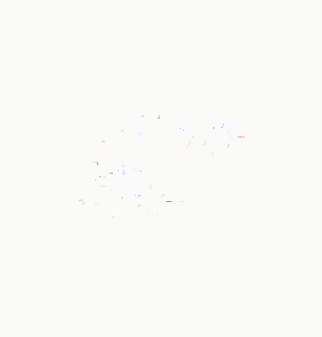 N#C[C@@H]1C[C@@H]2C[C@@H]2N1C(=O)[C@@H](N)C12CC3C[C@H](CC(OCCN4CCC(NC(=O)c5ccc(=O)[nH]c5)CC4)(C3)C1)C2